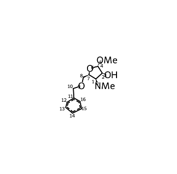 CN[C@@H]1[C@@H](O)[C@@H](OC)O[C@@H]1COCc1ccccc1